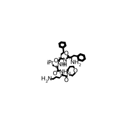 CC(C)C[C@@H](NC(=O)[C@@H](CCc1ccccc1)NC(=O)[C@H](N)Cc1ccccc1)C(=O)N[C@H](CCCN)C(=O)N1CCCOCC1